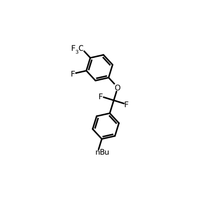 CCCCc1ccc(C(F)(F)Oc2ccc(C(F)(F)F)c(F)c2)cc1